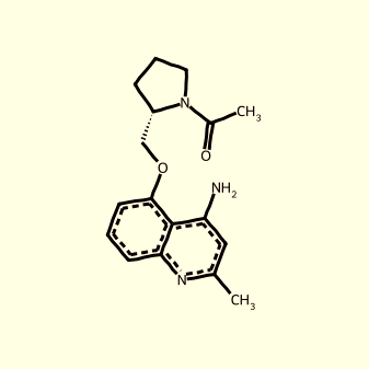 CC(=O)N1CCC[C@H]1COc1cccc2nc(C)cc(N)c12